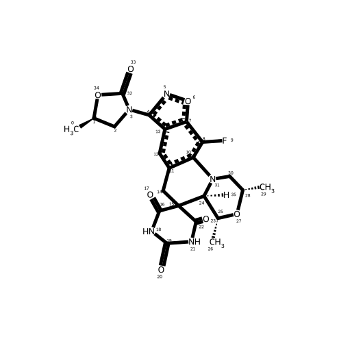 C[C@@H]1CN(c2noc3c(F)c4c(cc23)CC2(C(=O)NC(=O)NC2=O)[C@@H]2[C@@H](C)O[C@@H](C)CN42)C(=O)O1